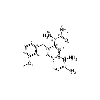 COc1cccc(Cc2cnc(N(N)C(N)=O)nc2N(N)C(N)=O)c1